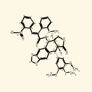 COc1ccccc1/C(=C\c1ccccc1[N+](=O)[O-])C(=O)N[C@@H]1c2cc3c(cc2[C@@H](c2cc(OC)c(OC)c(OC)c2)[C@H]2C(=O)OC[C@@H]21)OCO3